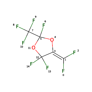 FC(F)=C1OC(F)(C(F)(F)F)OC1(F)F